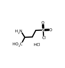 Cl.NC(CCS(=O)(=O)Cl)C(=O)O